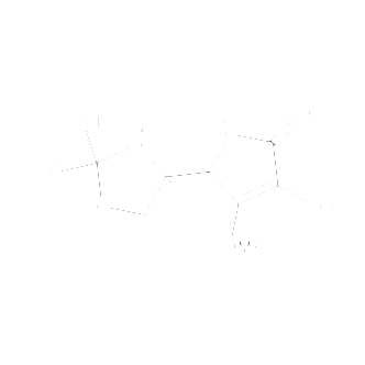 COC1=C(O)C(=O)OC1C1COC(C)(C)O1